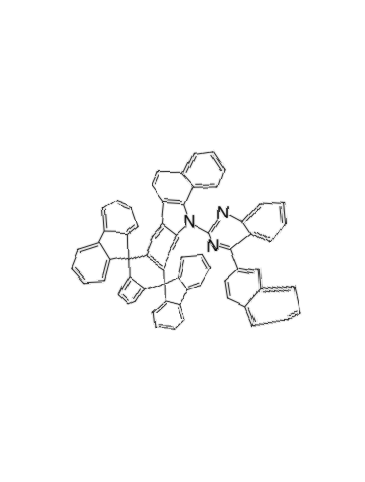 c1ccc2c(c1)-c1ccccc1C21c2ccccc2C2(c3ccccc3-c3ccccc32)c2cc3c(cc21)c1ccc2ccccc2c1n3-c1nc(-c2ccc3ccccc3c2)c2ccccc2n1